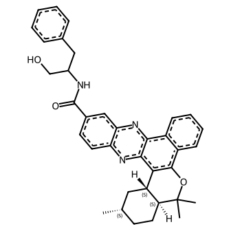 C[C@H]1CC[C@H]2[C@H](C1)c1c(c3ccccc3c3nc4cc(C(=O)NC(CO)Cc5ccccc5)ccc4nc13)OC2(C)C